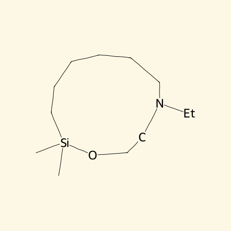 CCN1CCCCCC[Si](C)(C)OCC1